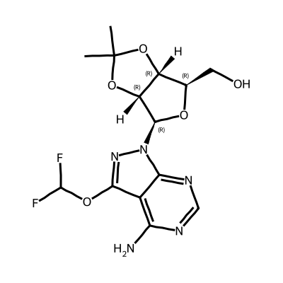 CC1(C)O[C@@H]2[C@H](O1)[C@@H](CO)O[C@H]2n1nc(OC(F)F)c2c(N)ncnc21